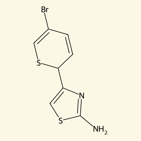 Nc1nc(C2C=CC(Br)=CS2)cs1